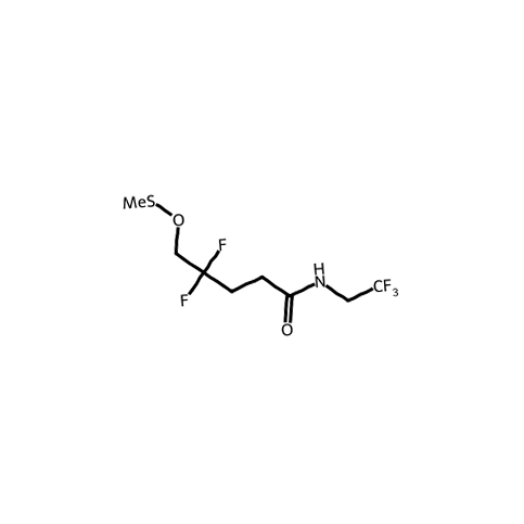 CSOCC(F)(F)CCC(=O)NCC(F)(F)F